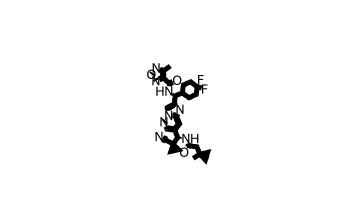 Cc1nonc1C(=O)N[C@H](c1cn2ncc([C@H](NC(=O)CC3(C)CC3)C3(C#N)CC3)cc2n1)C1CCC(F)(F)CC1